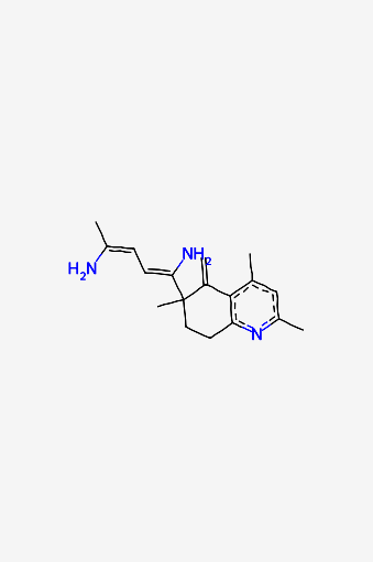 C=C1c2c(C)cc(C)nc2CCC1(C)/C(N)=C/C=C(/C)N